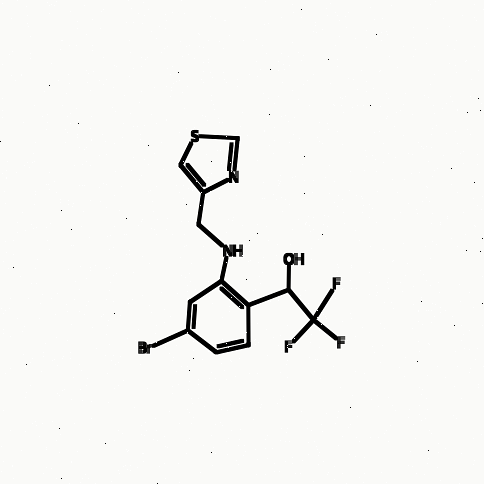 OC(c1ccc(Br)cc1NCc1cscn1)C(F)(F)F